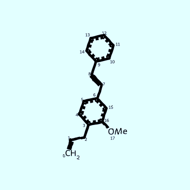 C=CCc1ccc(/C=C/c2ccccc2)cc1OC